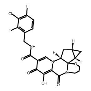 O=C(NCc1ccc(F)c(Cl)c1F)c1cn2c(c(O)c1=O)C(=O)N1CCCO[C@@]13[C@H]1C[C@H]1C[C@@H]23